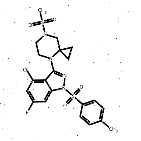 Cc1ccc(S(=O)(=O)n2nc(N3CCN(S(C)(=O)=O)CC34CC4)c3c(Cl)cc(F)cc32)cc1